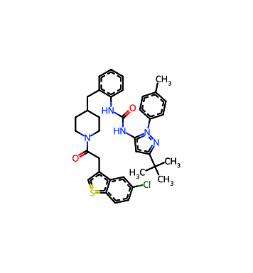 Cc1ccc(-n2nc(C(C)(C)C)cc2NC(=O)Nc2ccccc2CC2CCN(C(=O)Cc3csc4ccc(Cl)cc34)CC2)cc1